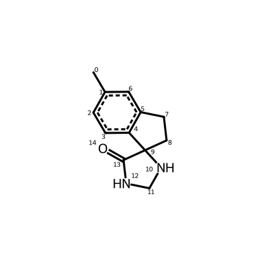 Cc1ccc2c(c1)CCC21NCNC1=O